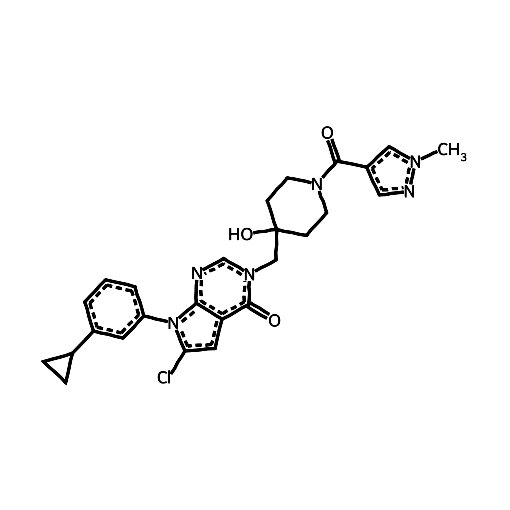 Cn1cc(C(=O)N2CCC(O)(Cn3cnc4c(cc(Cl)n4-c4cccc(C5CC5)c4)c3=O)CC2)cn1